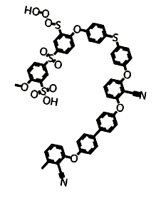 COc1ccc(S(=O)(=O)c2ccc(Oc3ccc(Sc4ccc(Oc5cccc(Oc6ccc(-c7ccc(Oc8cccc(C)c8C#N)cc7)cc6)c5C#N)cc4)cc3)c(SOOO)c2)cc1S(=O)(=O)O